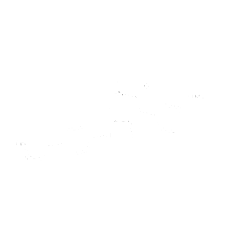 CCNC(=O)C(c1cccc(OC)c1)N1CCN(c2ccc(-c3cn[nH]c3)cc2)C1=O